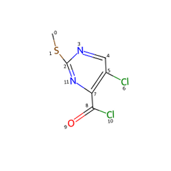 CSc1ncc(Cl)c(C(=O)Cl)n1